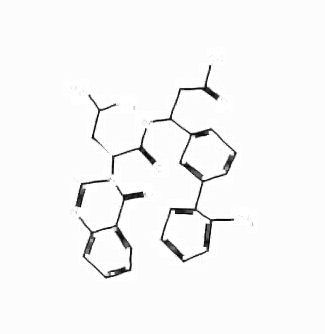 Cc1ccccc1-c1cccc(C(CC(=O)O)NC(=O)[C@H](CC(C)C)n2cnc3ccccc3c2=O)c1